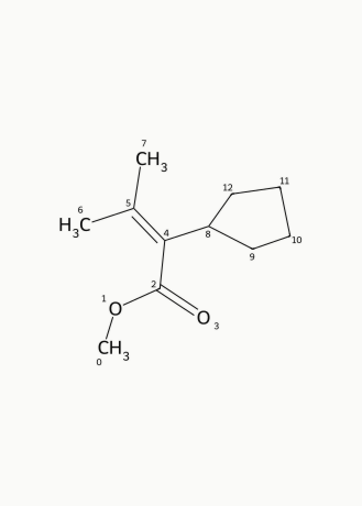 COC(=O)C(=C(C)C)C1CCCC1